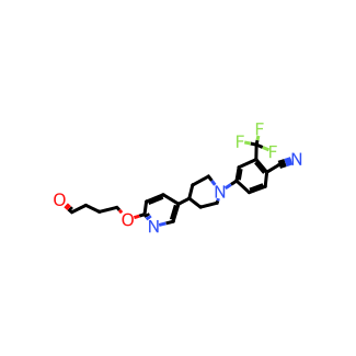 N#Cc1ccc(N2CCC(c3ccc(OCCCC=O)nc3)CC2)cc1C(F)(F)F